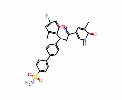 Cc1cc(F)ccc1[C@@H](C/C(=N\O)c1c[nH]c(=O)c(C)c1)c1ccc(-c2ccc(S(N)(=O)=O)cc2)cc1